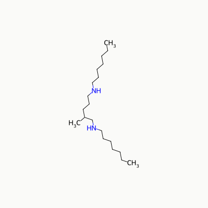 CCCCCCCNCCCC(C)CNCCCCCCC